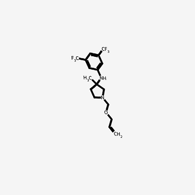 C=CCOCN1CCC(C)(Nc2cc(C(F)(F)F)cc(C(F)(F)F)c2)C1